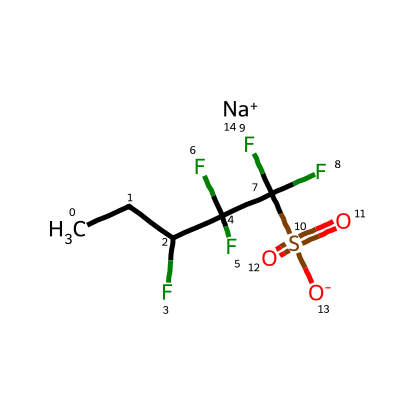 CCC(F)C(F)(F)C(F)(F)S(=O)(=O)[O-].[Na+]